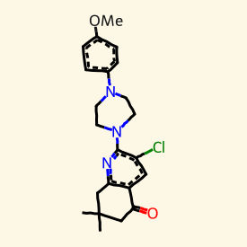 COc1ccc(N2CCN(c3nc4c(cc3Cl)C(=O)CC(C)(C)C4)CC2)cc1